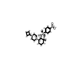 O=[N+]([O-])c1ccc(S(=O)(=O)N[C@@H]2[C@@H](N3CCN(C4CCC4)CC3)CCCC2(F)F)cc1